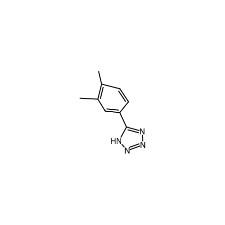 Cc1ccc(-c2nnn[nH]2)cc1C